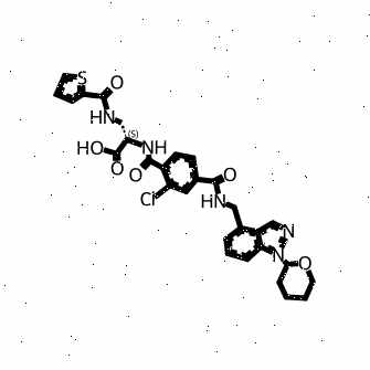 O=C(NCc1cccc2c1cnn2C1CCCCO1)c1ccc(C(=O)N[C@@H](CNC(=O)c2cccs2)C(=O)O)c(Cl)c1